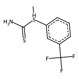 C[SH](C(N)=S)c1cccc(C(F)(F)F)c1